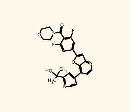 CC(C)(O)c1cc(-c2ccnc3cc(-c4cc(F)c(C(=O)N5CCOCC5)c(F)c4)oc23)ccn1